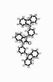 O=c1n(-c2cccc(-n3c4ccccc4c4ccccc43)c2)c2ccncc2n1-c1cccc(-n2c3ccccc3c3ccccc32)c1